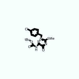 CSc1nc(=O)c(NC(=O)OC(C)(C)C)nn1Cc1ccc(Cl)cc1